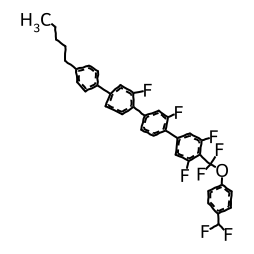 CCCCCc1ccc(-c2ccc(-c3ccc(-c4cc(F)c(C(F)(F)Oc5ccc(C(F)F)cc5)c(F)c4)c(F)c3)c(F)c2)cc1